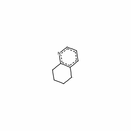 [CH]1CCCc2ncccc21